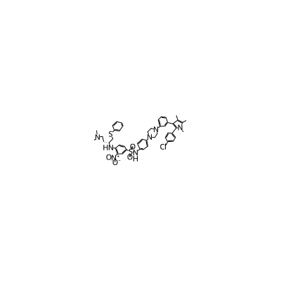 Cc1c(-c2cccc(N3CCN(c4ccc(NS(=O)(=O)c5ccc(N[C@H](CCN(C)C)CSc6ccccc6)c([N+](=O)[O-])c5)cc4)CC3)c2)c(-c2ccc(Cl)cc2)n(C)c1C